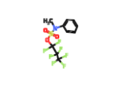 CN(c1ccccc1)S(=O)(=O)OC(F)(F)C(F)(F)C(F)(F)F